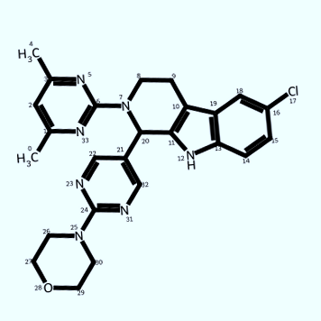 Cc1cc(C)nc(N2CCc3c([nH]c4ccc(Cl)cc34)C2c2cnc(N3CCOCC3)nc2)n1